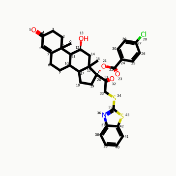 CC12CCC(=O)C=C1CCC1C2[C@@H](O)CC2(C)C1CC[C@]2(OC(=O)c1ccc(Cl)cc1)C(=O)CSc1nc2ccccc2s1